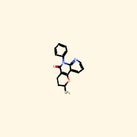 CC1CCc2c(c3cccnc3n(-c3ccccc3)c2=O)O1